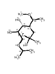 CO[C@@H](C)[C@@H](CC(C)(C)O)[C@@H](O)C(O)COC(C)C